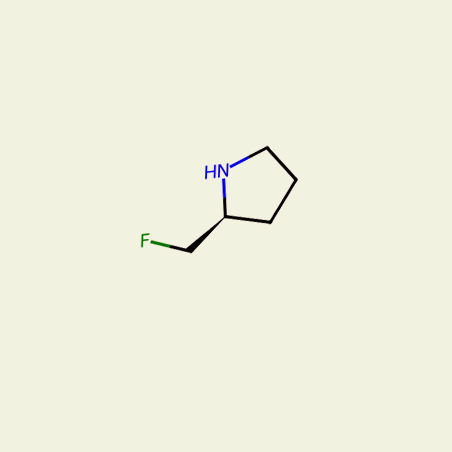 FC[C@@H]1CCCN1